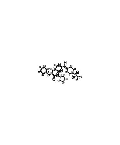 CC(C)S(=O)(=O)N1CCC(Nc2ncc3cc(Cc4ccccc4)c(=O)n(C4CCCC4)c3n2)CC1